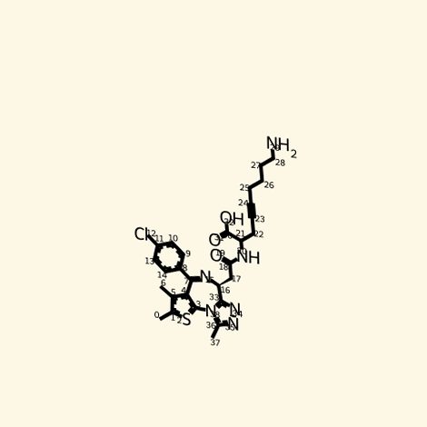 Cc1sc2c(c1C)C(c1ccc(Cl)cc1)=N[C@@H](CC(=O)NC(CC#CCCCCN)C(=O)O)c1nnc(C)n1-2